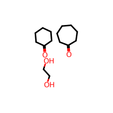 O=C1CCCCC1.O=C1CCCCCC1.OCCO